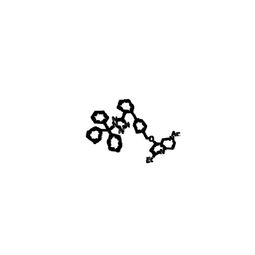 CCc1cc(OCc2ccc(-c3ccccc3-c3nnn(C(c4ccccc4)(c4ccccc4)c4ccccc4)n3)cc2)c2c(n1)CCN(C(C)=O)C2